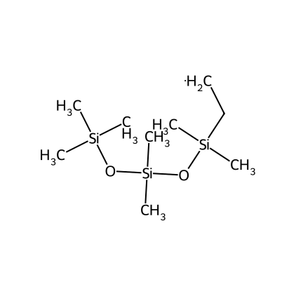 [CH2]C[Si](C)(C)O[Si](C)(C)O[Si](C)(C)C